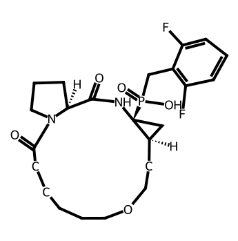 O=C1N[C@]2(P(=O)(O)Cc3c(F)cccc3F)C[C@H]2CCOCCCCCC(=O)N2CCC[C@@H]12